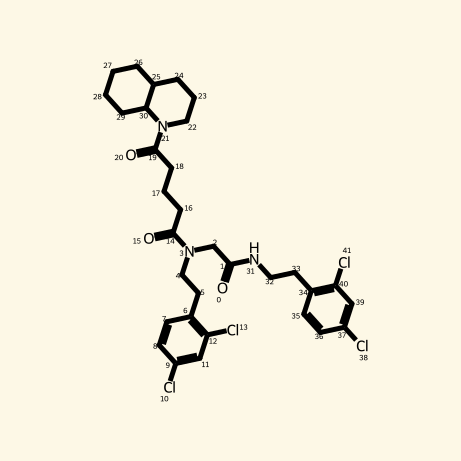 O=C(CN(CCc1ccc(Cl)cc1Cl)C(=O)CCCC(=O)N1CCCC2CCCCC21)NCCc1ccc(Cl)cc1Cl